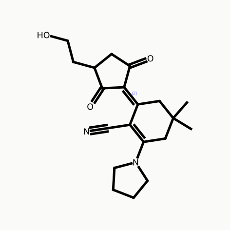 CC1(C)CC(N2CCCC2)=C(C#N)/C(=C2/C(=O)CC(CCO)C2=O)C1